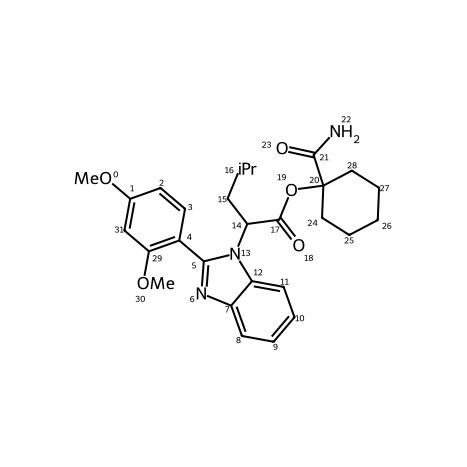 COc1ccc(-c2nc3ccccc3n2C(CC(C)C)C(=O)OC2(C(N)=O)CCCCC2)c(OC)c1